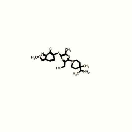 Cc1nc(N2CCC(C)(C(C)N)CC2)c(CO)nc1Sc1ccc2cn(C)nc2c1Cl